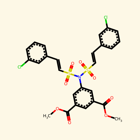 COC(=O)c1cc(C(=O)OC)cc(N(S(=O)(=O)/C=C/c2cccc(Cl)c2)S(=O)(=O)/C=C/c2cccc(Cl)c2)c1